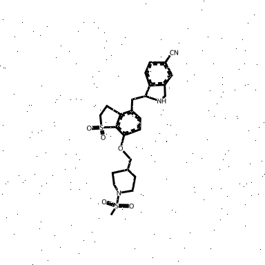 CS(=O)(=O)N1CCC(COc2ccc(CC3NCc4cc(C#N)ccc43)c3c2S(=O)(=O)CC3)CC1